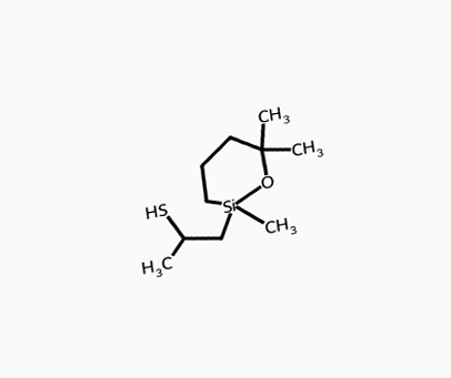 CC(S)C[Si]1(C)CCCC(C)(C)O1